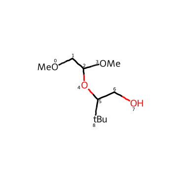 COCC(OC)OC(CO)C(C)(C)C